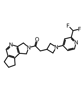 O=C(CC1CN(c2ccnc(C(F)F)c2)C1)N1Cc2ncc3c(c2C1)CCC3